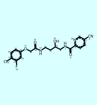 N#Cc1ccc(C(=O)NCC(O)CCNC(=O)COc2ccc(Cl)c(F)c2)nc1